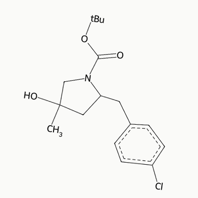 CC1(O)CC(Cc2ccc(Cl)cc2)N(C(=O)OC(C)(C)C)C1